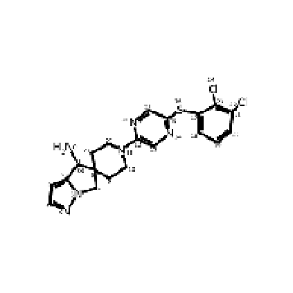 N[C@@H]1c2ccnn2CC12CCN(c1cnc(Sc3cccc(Cl)c3Cl)cn1)CC2